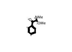 CNC(OC)C(=O)c1ccccc1